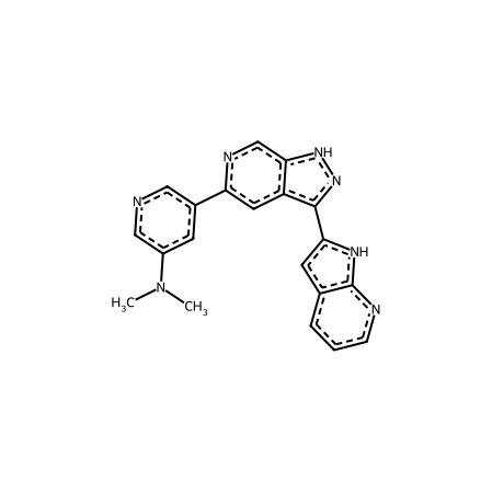 CN(C)c1cncc(-c2cc3c(-c4cc5cccnc5[nH]4)n[nH]c3cn2)c1